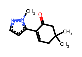 Cn1nccc1C1=CCC(C)(C)CC1=O